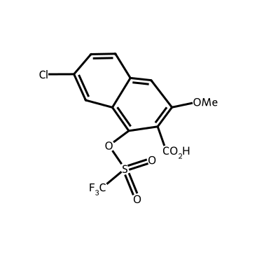 COc1cc2ccc(Cl)cc2c(OS(=O)(=O)C(F)(F)F)c1C(=O)O